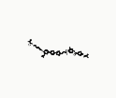 C=C(C)C(=O)OCCCCCCOc1ccc(-c2ccc(-c3ccc(/C=C/C(=O)Oc4ccc(OC(=O)c5ccc(OC(=O)C(=C)C)cc5)cc4C)cc3)cc2)cc1C1CC1